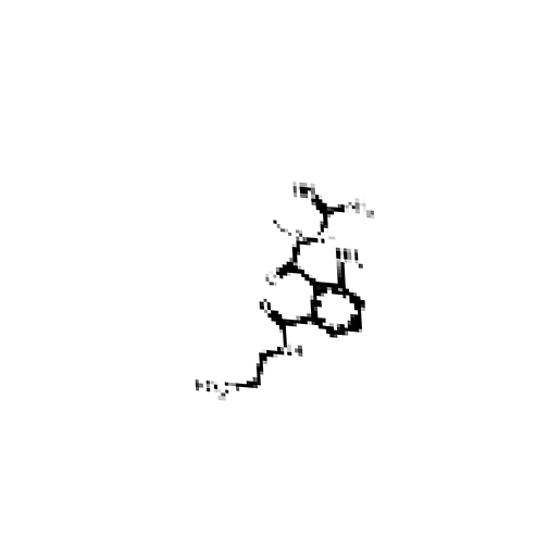 C[C@H](NC(=N)N)C(=O)c1c(N)cccc1C(=O)NCCC(=O)O